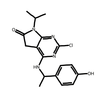 CC(Nc1nc(Cl)nc2c1CC(=O)N2C(C)C)c1ccc(O)cc1